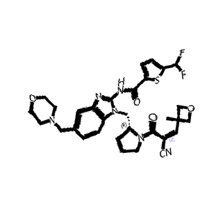 CC1(/C=C(/C#N)C(=O)N2CCC[C@@H]2Cn2c(NC(=O)c3ccc(C(F)F)s3)nc3cc(CN4CCOCC4)ccc32)COC1